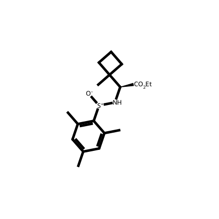 CCOC(=O)[C@@H](N[S+]([O-])c1c(C)cc(C)cc1C)C1(C)CCC1